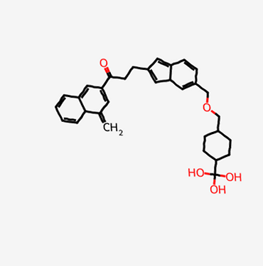 C=C1C=C(C(=O)CCC2=CC3C=C(COCC4CCC(C(O)(O)O)CC4)C=CC3=C2)C=C2C=CC=CC12